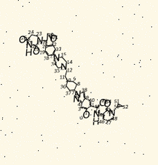 COc1cc2nn(C3CCC(CCN4CCN(c5ccc6c(N7CCC(=O)NC7=O)noc6c5)CC4)CC3)cc2cc1C(=O)Nc1cccn(C2CC2)c1=O